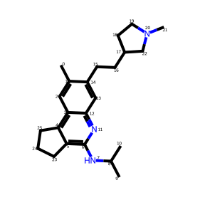 Cc1cc2c3c(c(NC(C)C)nc2cc1CCC1CCN(C)C1)CCC3